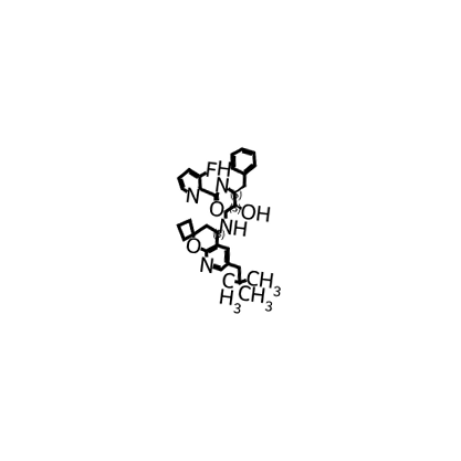 CC(C)(C)Cc1cnc2c(c1)[C@@H](NC[C@H](O)[C@H](Cc1ccccc1)NC(=O)c1ncccc1F)CC1(CCC1)O2